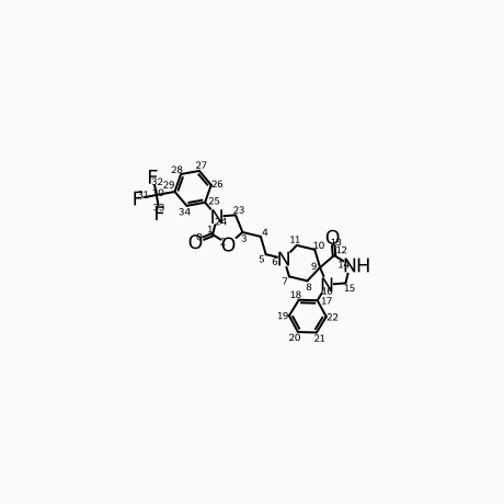 O=C1OC(CCN2CCC3(CC2)C(=O)NCN3c2ccccc2)CN1c1cccc(C(F)(F)F)c1